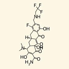 CN(C)[C@@H]1C(O)=C(C(N)=O)C(=O)[C@@]2(O)C(O)=C3C(=O)c4c(O)cc(CNCC(F)(F)F)c(F)c4C[C@H]3CC12